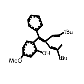 COc1ccc(C(=C(C=CC(C)(C)C)C=C(C)C(C)(C)C)c2ccccc2)c(O)c1